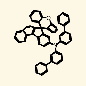 c1ccc(-c2cccc(N(c3cccc(-c4ccccc4)c3)c3ccc4c(c3)C3(c5ccccc5Oc5ccccc53)c3ccc5ccccc5c3-4)c2)cc1